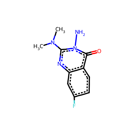 CN(C)c1nc2cc(F)ccc2c(=O)n1N